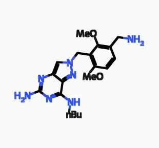 CCCCNc1nc(N)nc2cn(Cc3c(OC)ccc(CN)c3OC)nc12